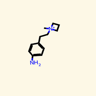 C[N+]1(CCc2ccc(N)cc2)CCC1